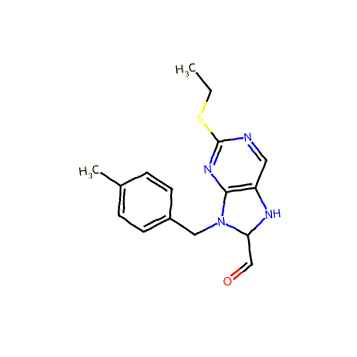 CCSc1ncc2c(n1)N(Cc1ccc(C)cc1)C(C=O)N2